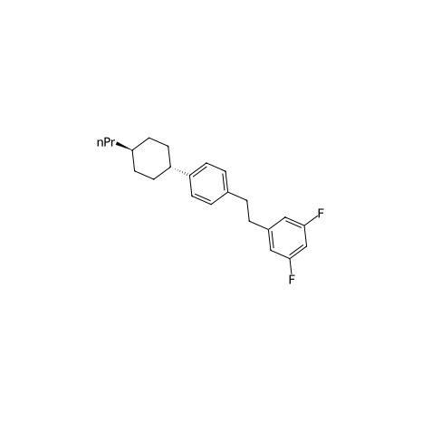 CCC[C@H]1CC[C@H](c2ccc(CCc3cc(F)cc(F)c3)cc2)CC1